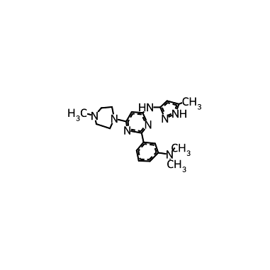 Cc1cc(Nc2cc(N3CCN(C)CC3)nc(-c3cccc(N(C)C)c3)n2)n[nH]1